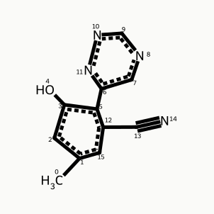 Cc1cc(O)c(-c2cncnn2)c(C#N)c1